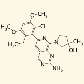 CCc1c(OC)cc(OC)c(Cl)c1-c1cc2cnc(N)nc2c(N2CCC(C)(O)C2)n1